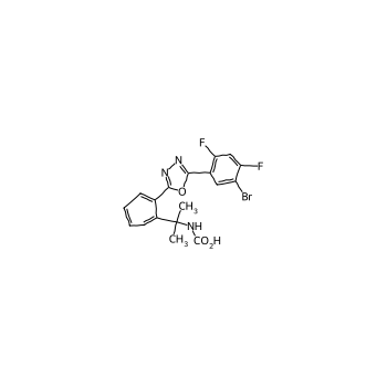 CC(C)(NC(=O)O)c1ccccc1-c1nnc(-c2cc(Br)c(F)cc2F)o1